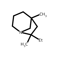 CCC1(C)CC2(C)CCCN1C2